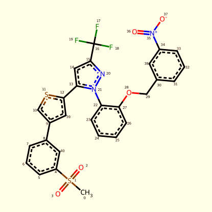 CS(=O)(=O)c1cccc(-c2csc(-c3cc(C(F)(F)F)nn3-c3ccccc3OCc3cccc([N+](=O)[O-])c3)c2)c1